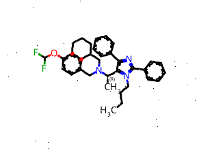 CCCCn1c(-c2ccccc2)nc(-c2ccccc2)c1[C@@H](C)N(Cc1ccc(OC(F)F)cc1)CC1CCCCC1